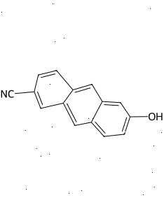 N#Cc1ccc2cc3cc(O)ccc3cc2c1